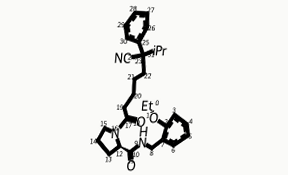 CCOc1ccccc1CNC(=O)[C@H]1CCCN1C(=O)CCCCC(C#N)(c1ccccc1)C(C)C